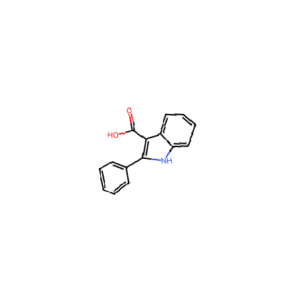 O=C(O)c1c(-c2ccccc2)[nH]c2ccccc12